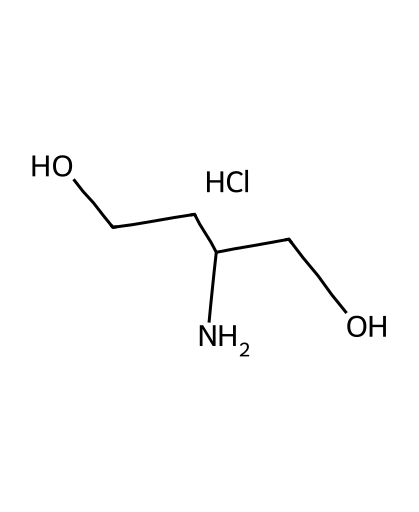 Cl.NC(CO)CCO